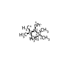 CC[CH]N([Si](C)(C)C)[Si](C)(C)C